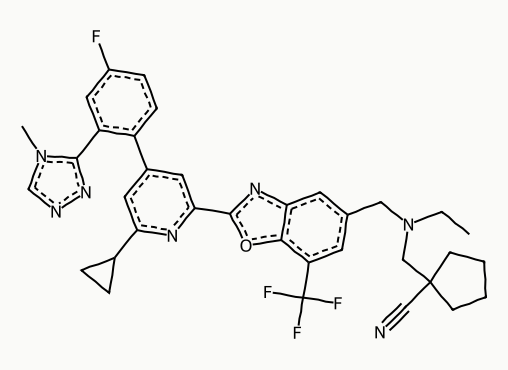 CCN(Cc1cc(C(F)(F)F)c2oc(-c3cc(-c4ccc(F)cc4-c4nncn4C)cc(C4CC4)n3)nc2c1)CC1(C#N)CCCC1